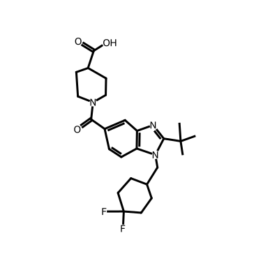 CC(C)(C)c1nc2cc(C(=O)N3CCC(C(=O)O)CC3)ccc2n1CC1CCC(F)(F)CC1